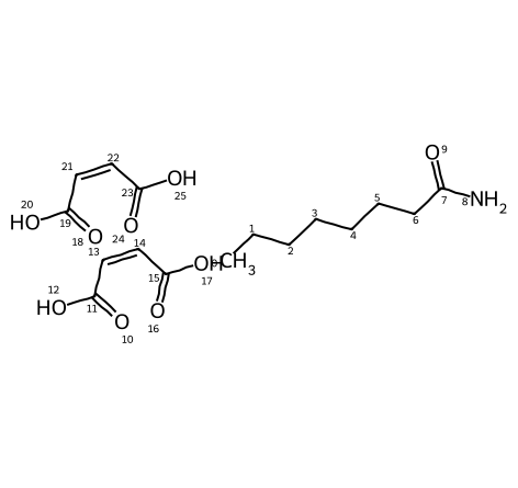 CCCCCCCC(N)=O.O=C(O)/C=C\C(=O)O.O=C(O)/C=C\C(=O)O